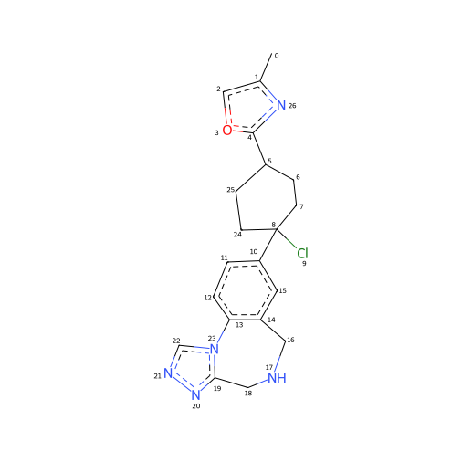 Cc1coc(C2CCC(Cl)(c3ccc4c(c3)CNCc3nncn3-4)CC2)n1